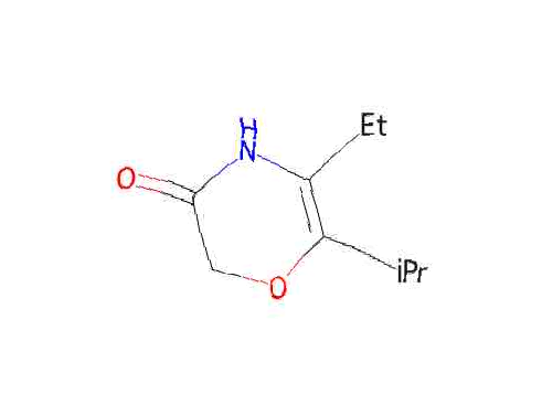 CCC1=C(C(C)C)OCC(=O)N1